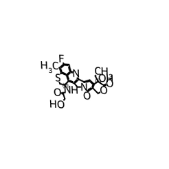 CC[C@@]1(O)C(=O)OCc2c1cc1n(c2=O)Cc2c-1nc1cc(F)c(C)c3c1c2[C@@H](NC(=O)CO)CS3